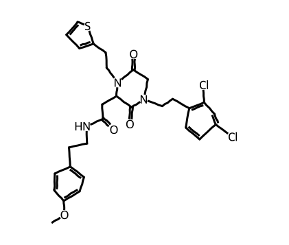 COc1ccc(CCNC(=O)CC2C(=O)N(CCc3ccc(Cl)cc3Cl)CC(=O)N2CCc2cccs2)cc1